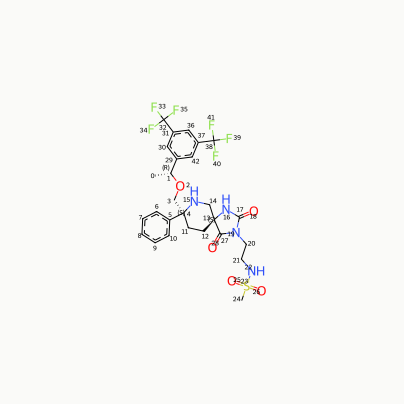 C[C@@H](OC[C@@]1(c2ccccc2)CC[C@@]2(CN1)NC(=O)N(CCNS(C)(=O)=O)C2=O)c1cc(C(F)(F)F)cc(C(F)(F)F)c1